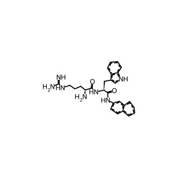 N=C(N)NCCC[C@H](N)C(=O)N[C@@H](Cc1c[nH]c2ccccc12)C(=O)Nc1ccc2ccccc2c1